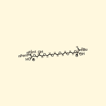 CCCCCC(CCCCC)P(=O)(O)OCC(O)COCCOCCOCCOCCOP(=O)(O)C(C)CCCC